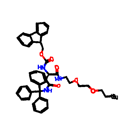 CC(C)(C)CCOCCOCCNC(=O)[C@H](CC(=O)NC(c1ccccc1)(c1ccccc1)c1ccccc1)NC(=O)OCC1c2ccccc2-c2ccccc21